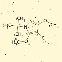 COc1nn(C(C)(C)C)c(OC)c1Cl